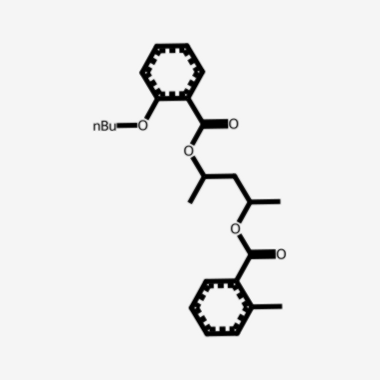 CCCCOc1ccccc1C(=O)OC(C)CC(C)OC(=O)c1ccccc1C